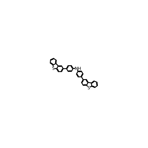 c1ccc2c(c1)sc1ccc(-c3ccc(Nc4ccc(-c5ccc6sc7ccccc7c6c5)cc4)cc3)cc12